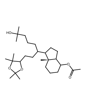 CC(=O)OC1CCC[C@]2(C)C(C(CCCC(C)(C)O)CCC3OC(C)(C)OC3(C)C)CCC12